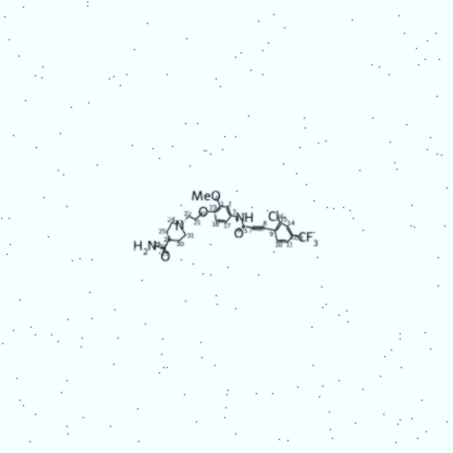 COc1cc(NC(=O)C#Cc2ccc(C(F)(F)F)cc2Cl)ccc1OCCN1CCC(C(N)=O)CC1